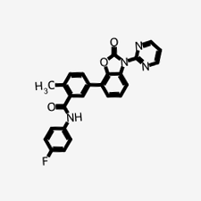 Cc1ccc(-c2cccc3c2oc(=O)n3-c2ncccn2)cc1C(=O)Nc1ccc(F)cc1